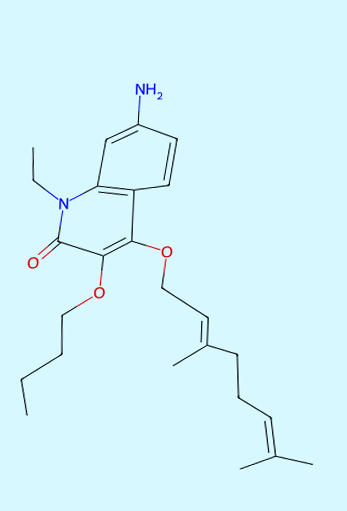 CCCCOc1c(OC/C=C(\C)CCC=C(C)C)c2ccc(N)cc2n(CC)c1=O